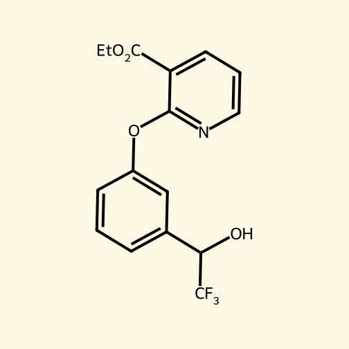 CCOC(=O)c1cccnc1Oc1cccc(C(O)C(F)(F)F)c1